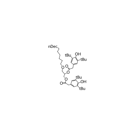 CCCCCCCCCCCCCCCCOCC(COC(=O)Cc1cc(C(C)(C)C)c(O)c(C(C)(C)C)c1)OC(=O)Cc1cc(C(C)(C)C)c(O)c(C(C)(C)C)c1